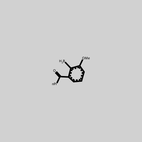 Bc1c(OC)cccc1C(=O)CCC